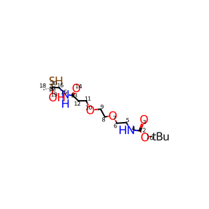 CC(C)(C)OC(=O)NCCOCCOCCC(=O)NC[C@@](C)(O)S